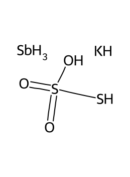 O=S(=O)(O)S.[KH].[SbH3]